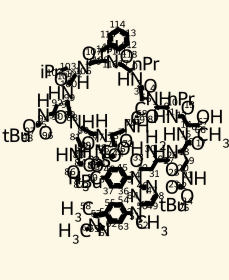 CCC[C@@H]1NC(=O)[C@@H](NC(=O)[C@H](CCC)NC(=O)[C@@H](NC(=O)[C@@H](CCNC(=O)OC(C)(C)C)NC(=O)[C@@H](N)CC(=O)N(c2ccc(C)c(S(N)(=O)=O)c2)c2nccc(N(C)c3ccc4c(C)n(C)nc4c3)n2)[C@@H](C)O)CCNC(=O)[C@H]([C@@H](C)O)NC(=O)[C@H](CCNC(=O)OC(C)(C)C)NC(=O)[C@H](CCNC(=O)OC(C)(C)C)NC(=O)[C@H](CC(C)C)NC(=O)[C@@H](Cc2ccccc2)NC1=O